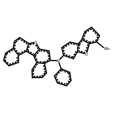 CC(C)(C)c1cccc2c1oc1cc(N(c3ccccc3)c3cc4oc5ccc6ccccc6c5c4c4ccccc34)ccc12